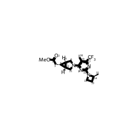 COC(=O)C[C@@H]1[C@H]2CN(c3nc(N4CC[C@@H]4C)nc(C(F)(F)F)c3I)C[C@@H]12